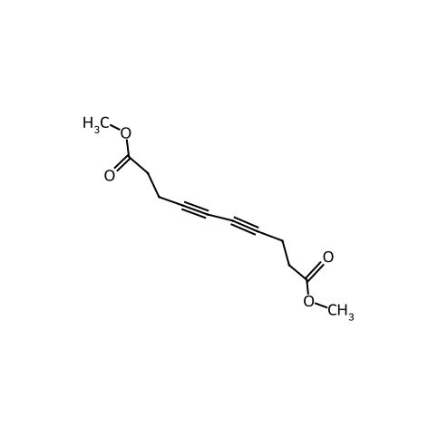 COC(=O)CCC#CC#CCCC(=O)OC